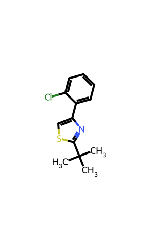 CC(C)(C)c1nc(-c2ccccc2Cl)cs1